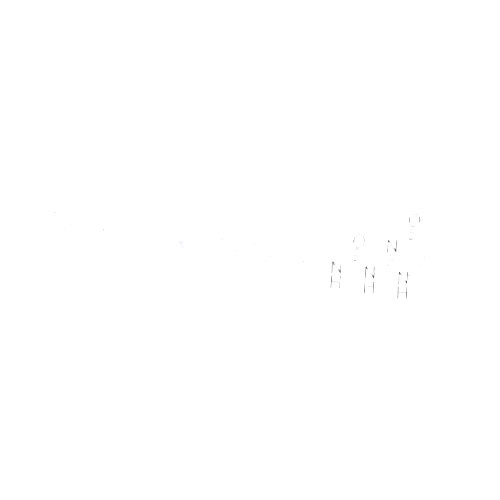 CCCCCCCC/C=C/CCCCCCCCNC(=O)Nc1nc(=O)cc(C)[nH]1